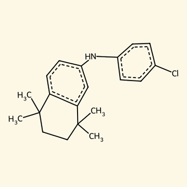 CC1(C)CCC(C)(C)c2cc(Nc3ccc(Cl)cc3)ccc21